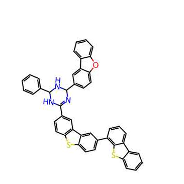 c1ccc(C2NC(c3ccc4sc5ccc(-c6cccc7c6sc6ccccc67)cc5c4c3)=NC(c3ccc4oc5ccccc5c4c3)N2)cc1